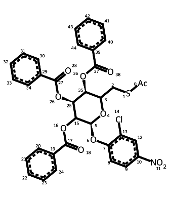 CC(=O)SCC1O[C@@H](Oc2ccc([N+](=O)[O-])cc2Cl)C(OC(=O)c2ccccc2)[C@@H](OC(=O)c2ccccc2)[C@H]1OC(=O)c1ccccc1